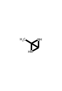 CC12NC1N2